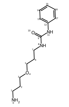 NCCCOCCCNC(=O)Nc1c[c]ccc1